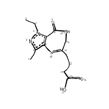 CCn1nc(C)c2c1C(=O)NCC(CCC(=O)O)=N2